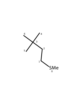 CSCCC(C)(C)C